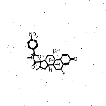 C[C@@H]1C[C@H]2[C@@H]3C[C@H](F)C4=CC(=O)C=C[C@]4(C)[C@@]3(F)[C@@H](O)C[C@]2(C)[C@@]1(OC(=O)c1ccc([N+](=O)[O-])cc1)C(=O)N(C)C